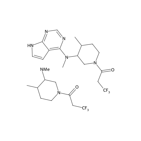 CC1CCN(C(=O)CC(F)(F)F)CC1N(C)c1ncnc2[nH]ccc12.CNC1CN(C(=O)CC(F)(F)F)CCC1C